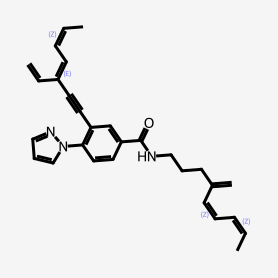 C=C/C(C#Cc1cc(C(=O)NCCCC(=C)/C=C\C=C/C)ccc1-n1cccn1)=C\C=C/C